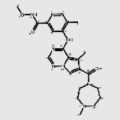 CONC(=O)c1ccc(C)c(Nc2ncnn3cc(C(=O)N4CCCN(C)CC4)c(C)c23)c1